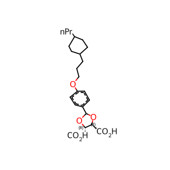 CCCC1CCC(CCCOc2ccc(C3O[C@@H](C(=O)O)[C@H](C(=O)O)O3)cc2)CC1